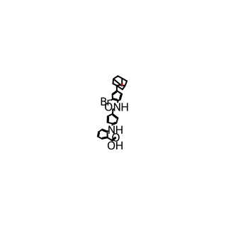 O=C(Nc1ccc(C23CC4CC(CC(C4)C2)C3)cc1Br)c1ccc(Nc2ccccc2C(=O)O)cc1